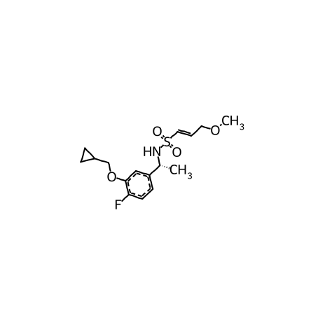 COC/C=C/S(=O)(=O)N[C@H](C)c1ccc(F)c(OCC2CC2)c1